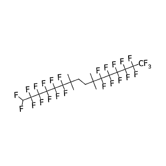 CC(C)(CCC(C)(C)C(F)(F)C(F)(F)C(F)(F)C(F)(F)C(F)(F)C(F)(F)F)C(F)(F)C(F)(F)C(F)(F)C(F)(F)C(F)(F)C(F)F